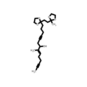 CC#CCC/C=C(\C)C(O)CC#CCCCC1(CCC2(C)OCCO2)OCCO1